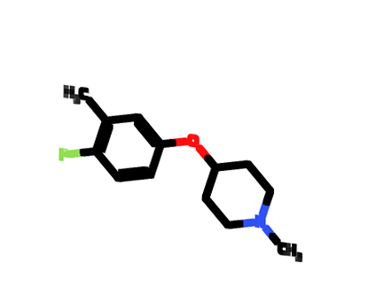 Cc1cc(OC2CCN(C)CC2)ccc1F